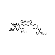 COc1c(C=CC(=O)c2ccc(OC(=O)C(C)(C)C)cc2)cc(C(C)(C)C)c(OC(=O)C(C)(C)C)c1OC